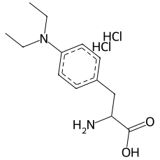 CCN(CC)c1ccc(CC(N)C(=O)O)cc1.Cl.Cl